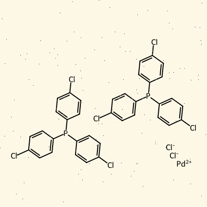 Clc1ccc(P(c2ccc(Cl)cc2)c2ccc(Cl)cc2)cc1.Clc1ccc(P(c2ccc(Cl)cc2)c2ccc(Cl)cc2)cc1.[Cl-].[Cl-].[Pd+2]